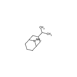 CC(C)C1CC2CCCC(C1)N2N